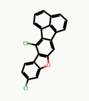 Clc1ccc2c(c1)oc1cc3c(c(Cl)c12)-c1cccc2cccc-3c12